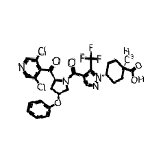 C[C@]1(C(=O)O)CC[C@H](n2ncc(C(=O)N3C[C@@H](Oc4ccccc4)C[C@H]3C(=O)c3c(Cl)cncc3Cl)c2C(F)(F)F)CC1